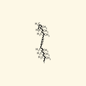 CC(CCCI)CC(C)CC(C)CC(C)CC(C)CC(C)CCCOCOCOCCCC(C)CC(C)CC(C)CC(C)CC(C)CC(C)CCCI